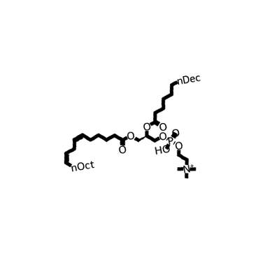 CCCCCCCC/C=C\C/C=C\CCCCC(=O)OC[C@H](COP(=O)(O)OCC[N+](C)(C)C)OC(=O)CCCCCCCCCCCCCCC